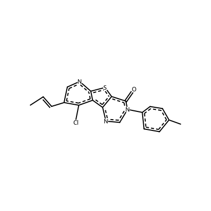 CC=Cc1cnc2sc3c(=O)n(-c4ccc(C)cc4)cnc3c2c1Cl